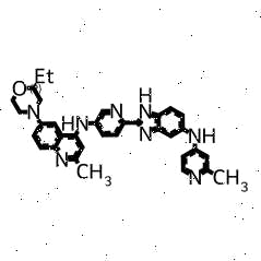 CC[C@@H]1CN(c2ccc3nc(C)cc(Nc4ccc(-c5nc6cc(Nc7ccnc(C)c7)ccc6[nH]5)nc4)c3c2)CCO1